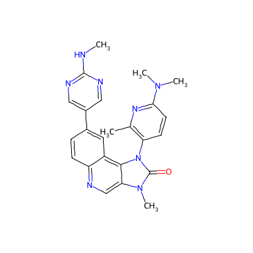 CNc1ncc(-c2ccc3ncc4c(c3c2)n(-c2ccc(N(C)C)nc2C)c(=O)n4C)cn1